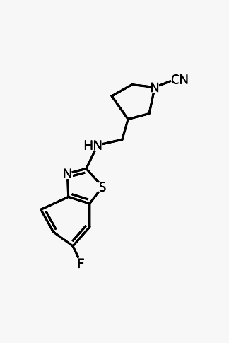 N#CN1CCC(CNc2nc3ccc(F)cc3s2)C1